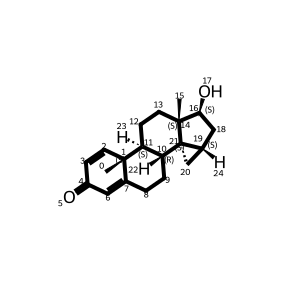 C[C@]12C=CC(=O)C=C1CC[C@@H]1[C@@H]2CC[C@]2(C)[C@@H](O)C[C@@H]3C[C@]312